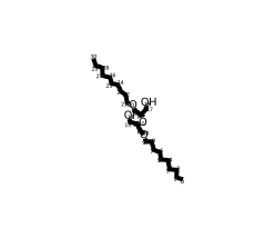 CCCCCCCCCCOCC(CO)OC(CO)COCCCCCCCCCC